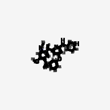 C=C(c1cc(Oc2ccccc2)cc(N[C@@H]2CCCNC2)n1)n1nc(C2CC2)c(OC)c/c1=N/C